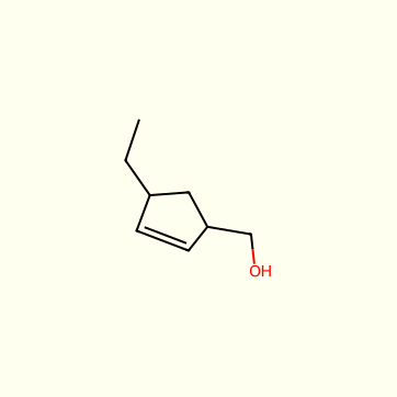 CCC1C=CC(CO)C1